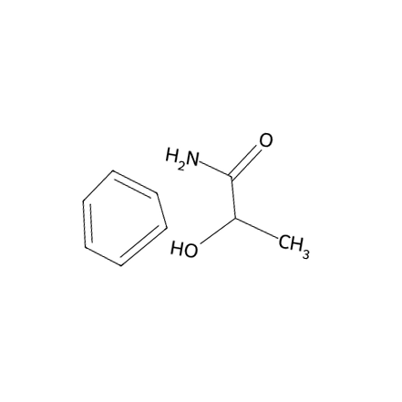 CC(O)C(N)=O.c1ccccc1